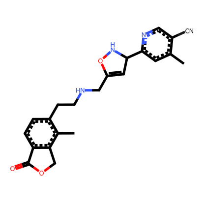 Cc1cc(C2C=C(CNCCc3ccc4c(c3C)COC4=O)ON2)ncc1C#N